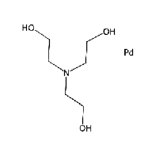 OCCN(CCO)CCO.[Pd]